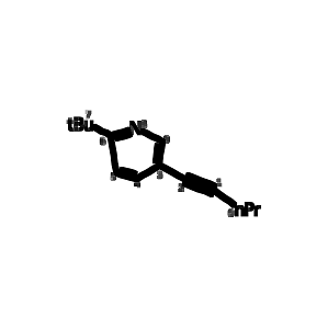 CCCC#Cc1ccc(C(C)(C)C)nc1